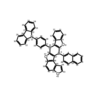 c1ccc2cc(B3c4oc5ccccc5c4B(c4ccc(-n5c6ccccc6c6ccccc65)cc4)c4oc5ccc6occc6c5c43)ccc2c1